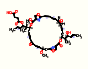 C=C([C@@H]1C/C=C\[C@H]2O[C@H]2/C=C/C=C\c2nc(co2)C(=O)O[C@H](C(C)(C)[C@H](/C=C/C)OC(=O)CCC(=O)O)C/C=C\C2OC2/C=C/[C@H](OC)Cc2nc(co2)C(=O)O1)[C@@H](O)/C=C/C